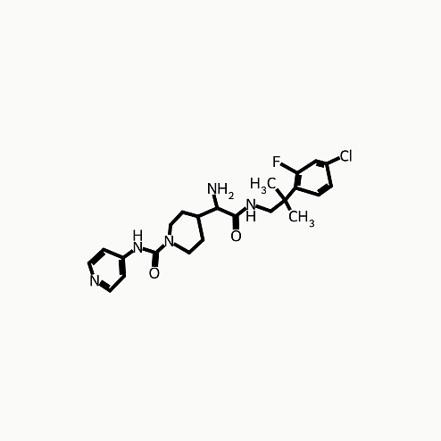 CC(C)(CNC(=O)C(N)C1CCN(C(=O)Nc2ccncc2)CC1)c1ccc(Cl)cc1F